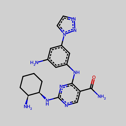 NC(=O)c1cnc(N[C@@H]2CCCC[C@@H]2N)nc1Nc1cc(N)cc(-n2ccnn2)c1